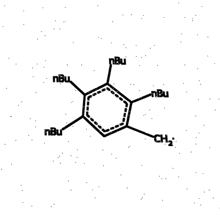 [CH2]c1cc(CCCC)c(CCCC)c(CCCC)c1CCCC